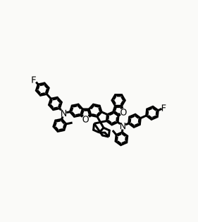 Cc1ccccc1N(c1ccc(-c2ccc(F)cc2)cc1)c1ccc2c(c1)oc1c3c(ccc12)-c1c(cc(N(c2ccc(-c4ccc(F)cc4)cc2)c2ccccc2C)c2oc4ccccc4c12)C31C2CC3CC(C2)C1C3